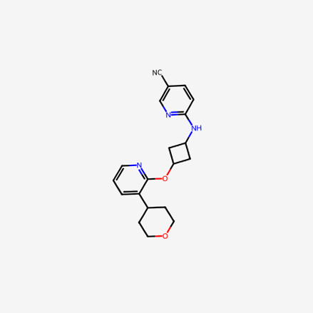 N#Cc1ccc(NC2CC(Oc3ncccc3C3CCOCC3)C2)nc1